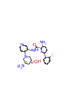 Nc1ccc(-c2ccccc2F)nc1C(=O)Nc1cnccc1N1C[C@@H](N)C[C@@H](O)C1